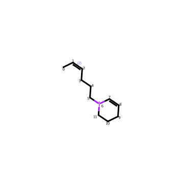 C/C=C\CCCI1C=CCCC1